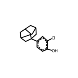 Oc1ccc(C23CC4CC(CC(C4)C2)C3)cc1Cl